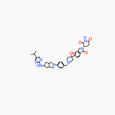 CC(C)c1cnc(NC2CC3CN(c4ccc(CN5CCC(O)(c6ccc7c(c6)CN(C6CCC(=O)NC6=O)C7=O)CC5)cc4)CC3C2)nc1